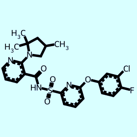 CC1CN(c2ncccc2C(=O)NS(=O)(=O)c2cccc(Oc3ccc(F)c(Cl)c3)n2)C(C)(C)C1